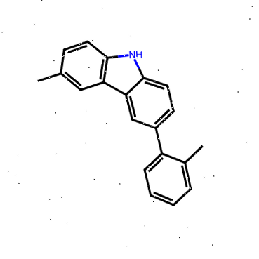 Cc1ccc2[nH]c3ccc(-c4ccccc4C)cc3c2c1